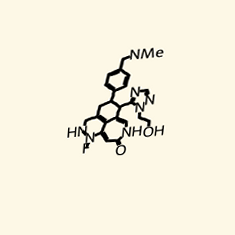 CNCc1ccc(C2CC3=C4C(=CNC(=O)C=C4N(F)NC3)C2c2ncnn2CCO)cc1